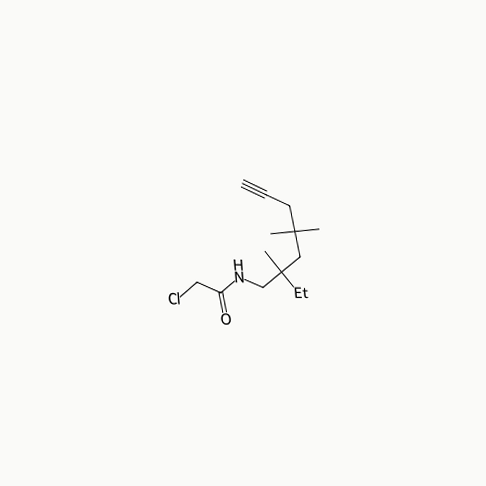 C#CCC(C)(C)CC(C)(CC)CNC(=O)CCl